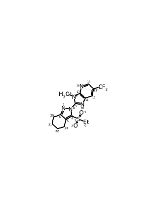 CCS(=O)(=O)c1c2c(nn1-c1nc3cc(C(F)(F)F)cnc3n1C)CCCC2